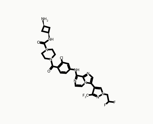 N[C@H]1C[C@@H](NC(=O)N2CCN(C(=O)c3ccc(Nc4nccn5c(-c6cn(CC(F)F)nc6C(F)(F)F)cnc45)cc3Cl)CC2)C1